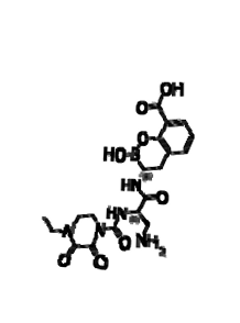 CCN1CCN(C(=O)N[C@H](CN)C(=O)N[C@H]2Cc3cccc(C(=O)O)c3OB2O)C(=O)C1=O